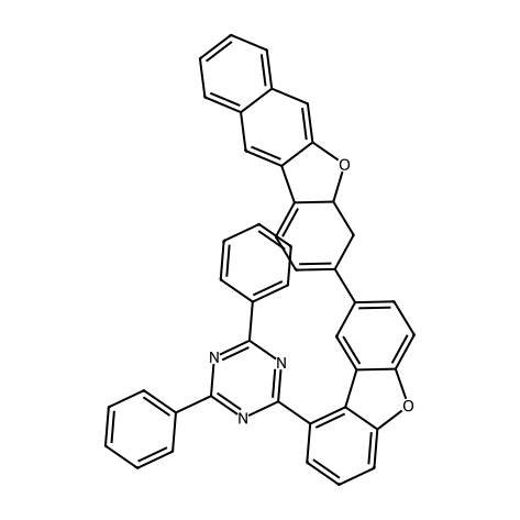 C1=C(c2ccc3oc4cccc(-c5nc(-c6ccccc6)nc(-c6ccccc6)n5)c4c3c2)CC2Oc3cc4ccccc4cc3C2=C1